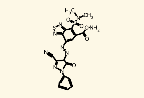 CN(C)S(=O)(=O)c1c(C(=O)ON)cc(/N=N/C2C(=O)N(c3ccccc3)N=C2C#N)c2nsnc12